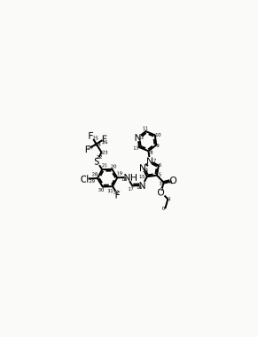 CCOC(=O)c1cn(-c2cccnc2)nc1/N=C\Nc1cc(SCC(F)(F)F)c(Cl)cc1F